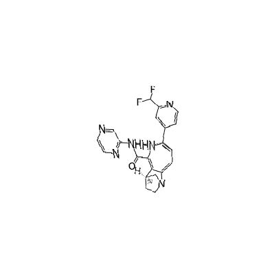 O=C(Nc1cnccn1)C1=C2C(=CC=C(c3ccnc(C(F)F)c3)N1)N1CC[C@@H]2C1